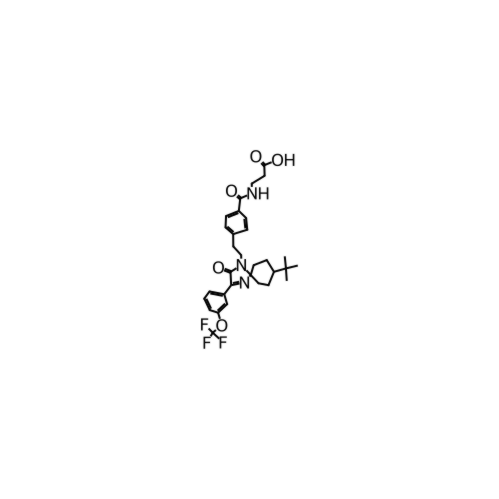 CC(C)(C)C1CCC2(CC1)N=C(c1cccc(OC(F)(F)F)c1)C(=O)N2CCc1ccc(C(=O)NCCC(=O)O)cc1